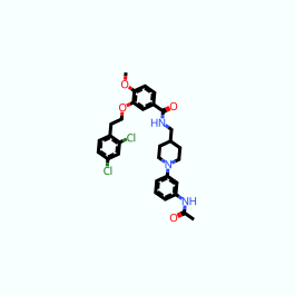 COc1ccc(C(=O)NCC2CCN(c3cccc(NC(C)=O)c3)CC2)cc1OCCc1ccc(Cl)cc1Cl